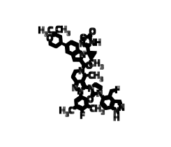 Cc1cc(-n2nc3c(c2-n2ccn(-c4ccc5[nH]ncc5c4CF)c2=O)[C@H](C)N(C(=O)c2cc4cc([C@H]5CCOC(C)(C)C5)ccc4n2[C@@]2(c4noc(=O)[nH]4)C[C@@H]2C)CC3)cc(C)c1F